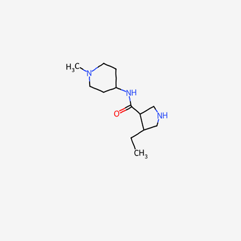 CCC1CNCC1C(=O)NC1CCN(C)CC1